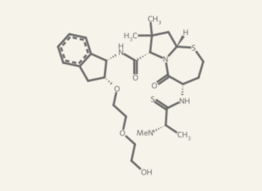 CN[C@@H](C)C(=S)N[C@H]1CCS[C@H]2CC(C)(C)[C@@H](C(=O)N[C@H]3c4ccccc4C[C@H]3OCCOCCO)N2C1=O